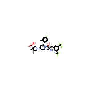 Cc1cc(F)ccc1[C@H]1C[C@@H](N2C[C@H]3C[C@@]3(C(=O)O)C2)CCN1C(=O)C(C)(N)[C@H](C)c1cc(C(F)(F)F)cc(C(F)(F)F)c1